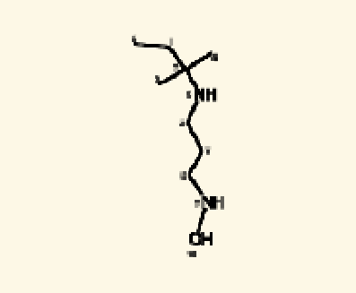 CCC(C)(C)NCCCNO